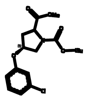 COC(=O)C1C[C@H](Oc2cccc(Cl)c2)CN1C(=O)OC(C)(C)C